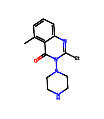 CCc1nc2cccc(C)c2c(=O)n1N1CCNCC1